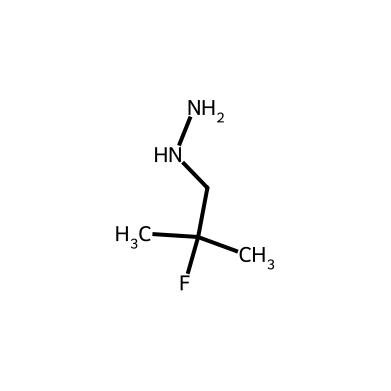 CC(C)(F)CNN